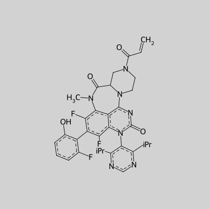 C=CC(=O)N1CCN2c3nc(=O)n(-c4c(C(C)C)ncnc4C(C)C)c4c(F)c(-c5c(O)cccc5F)c(F)c(c34)N(C)C(=O)C2C1